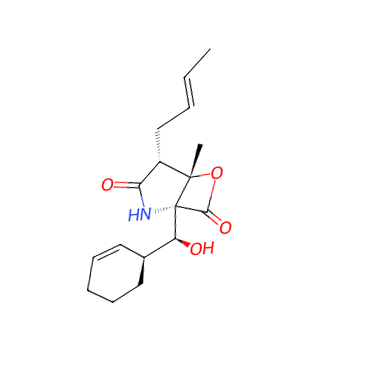 C/C=C/C[C@H]1C(=O)N[C@@]2([C@@H](O)[C@@H]3C=CCCC3)C(=O)O[C@@]12C